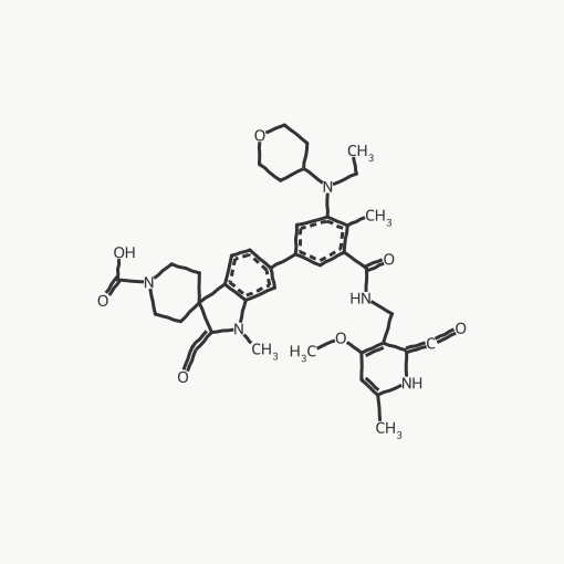 CCN(c1cc(-c2ccc3c(c2)N(C)C(=C=O)C32CCN(C(=O)O)CC2)cc(C(=O)NCC2=C(OC)C=C(C)NC2=C=O)c1C)C1CCOCC1